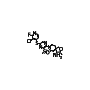 C[C@@H]1OCC2(CCN(c3ncc(Sc4ccnc(F)c4Cl)nc3[S+](C)[O-])CC2)[C@@H]1N